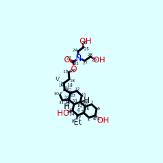 CC[C@@H]1C2C[C@H](O)CC[C@]2(C)[C@H]2CC[C@]3(C)[C@@H]([C@H](C)CCOC(=O)N(CCO)CCO)CC[C@H]3C2[C@@H]1O